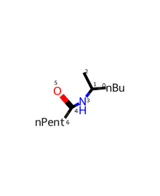 [CH2]CCCC(C)NC(=O)CCCCC